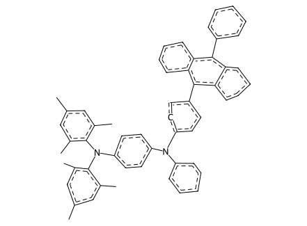 Cc1cc(C)c(N(c2ccc(N(c3ccccc3)c3ccc(-c4c5ccccc5c(-c5ccccc5)c5ccccc45)cc3)cc2)c2c(C)cc(C)cc2C)c(C)c1